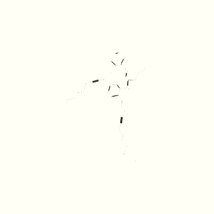 CCCCCCC#CCCCc1ccccc1/N=C(\C=N\c1ccccc1CCCC#CCCCCCC)CCCC.[Pd]